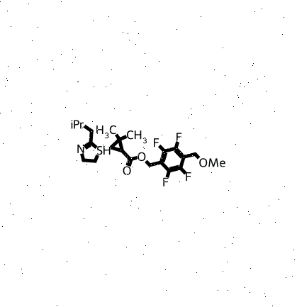 COCc1c(F)c(F)c(COC(=O)C2C([SH]3CCN=C3CC(C)C)C2(C)C)c(F)c1F